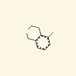 Ic1cccc2c1CCNC2